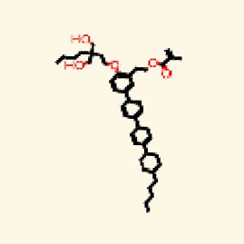 C=C(C)C(=O)OCCc1cc(-c2ccc(C3C=CC(C4CCC(CCCCC)CC4)=CC3)cc2)ccc1OCCC(CO)(CO)CCCC